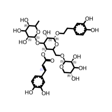 CC1O[C@@H](OC2[C@@H](OC(=O)/C=C/c3ccc(O)c(O)c3)C(CO[C@@H]3OC[C@@H](O)C(O)[C@@H]3O)O[C@@H](OCCc3ccc(O)c(O)c3)[C@H]2O)[C@@H](O)C(O)[C@H]1O